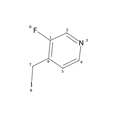 Fc1cnccc1CI